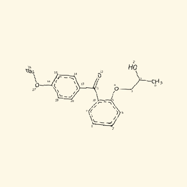 CC(O)COc1ccccc1C(=O)c1ccc(OC(C)(C)C)cc1